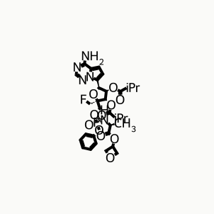 CC(C)C(=O)O[C@H]1[C@H](c2ccc3c(N)ncnn23)O[C@](CF)(COP(=O)(N[C@@H](C)C(=O)OC2COC2)Oc2ccccc2)[C@H]1OC(=O)C(C)C